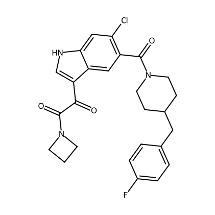 O=C(C(=O)N1CCC1)c1c[nH]c2cc(Cl)c(C(=O)N3CCC(Cc4ccc(F)cc4)CC3)cc12